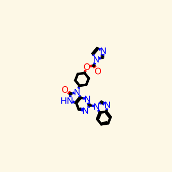 O=C(OC1CCC(n2c(=O)[nH]c3cnc(-n4cnc5ccccc54)nc32)CC1)n1ccnc1